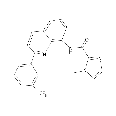 Cn1ccnc1C(=O)Nc1cccc2ccc(-c3cccc(C(F)(F)F)c3)nc12